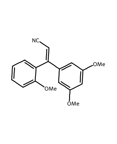 COc1cc(OC)cc(C(=CC#N)c2ccccc2OC)c1